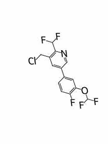 Fc1ccc(-c2cnc(C(F)F)c(CCl)c2)cc1OC(F)F